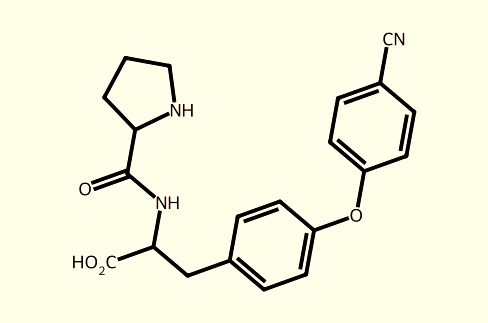 N#Cc1ccc(Oc2ccc(CC(NC(=O)C3CCCN3)C(=O)O)cc2)cc1